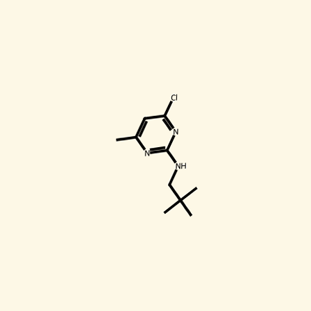 Cc1cc(Cl)nc(NCC(C)(C)C)n1